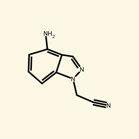 N#CCn1ncc2c(N)cccc21